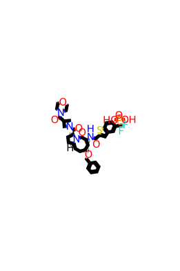 O=C(N[C@H]1C[C@H](OCc2ccccc2)CC[C@H]2CC[C@@H](C(=O)N3CC(C(=O)N4CCOCC4)C3)N2C1=O)c1cc2cc(C(F)(F)P(=O)(O)O)ccc2s1